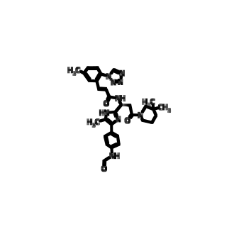 Cc1ccc(-n2cnnn2)c(/C=C/C(=O)N[C@@H](CC(=O)N2CCCC(C)(C)C2)c2nc(-c3ccc(NC=O)cc3)c(C)[nH]2)c1